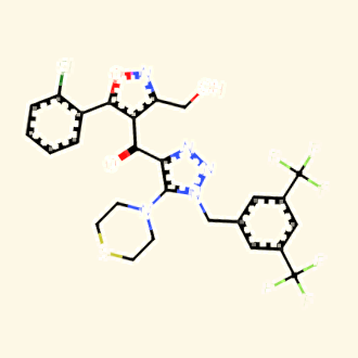 O=C(c1nnn(Cc2cc(C(F)(F)F)cc(C(F)(F)F)c2)c1N1CCSCC1)c1c(CO)noc1-c1ccccc1Cl